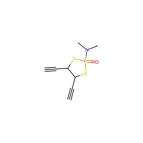 C#CC1SP(=O)(N(C)C)SC1C#C